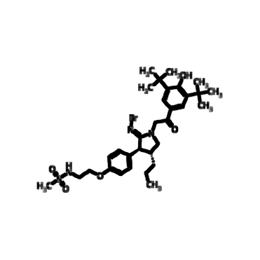 CCC[C@H]1CN(CC(=O)c2cc(C(C)(C)C)c(O)c(C(C)(C)C)c2)/C(=N\Br)[C@@H]1c1ccc(OCCNS(C)(=O)=O)cc1